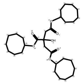 O=C(CC(O)(CC(=O)OC1CCCCCCC1)C(=O)OC1CCCCCCC1)OC1CCCCCCC1